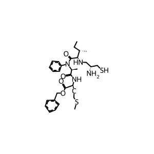 CC[C@H](C)[C@H](NC[C@@H](N)CS)C(=O)N(c1ccccc1)[C@@H](C)C(=O)N[C@@H](CCSC)C(=O)OCc1ccccc1